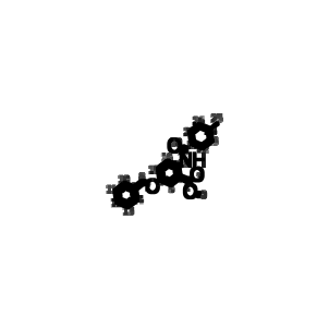 COC(=O)c1cc(OCc2ccccc2)ccc1NC(=O)[C@H]1CC[C@H](C)CC1